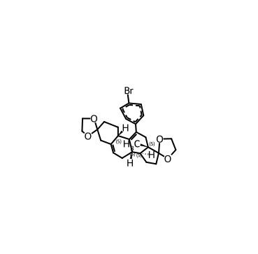 C[C@]12CC(c3ccc(Br)cc3)=C3[C@H]4CCC5(CC4=CC[C@H]3[C@@H]1CCC21OCCO1)OCCO5